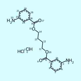 Cl.Cl.Nc1cccc(C(=O)OCCCCOC(=O)c2cccc(N)c2)c1